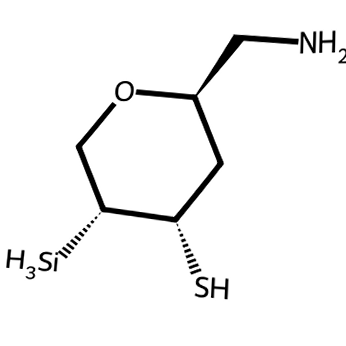 NC[C@H]1C[C@H](S)[C@H]([SiH3])CO1